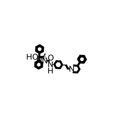 C[C@@H](NC(=O)N[C@H]1CC[C@H](CCN2CCCC(c3ccccc3)C2)CC1)C(O)(c1ccccc1)c1ccccc1